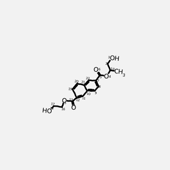 CC(CO)OC(=O)c1ccc2cc(C(=O)OCCO)ccc2c1